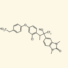 CC(c1ccc(Oc2ccc(CC(=O)O)cc2)cc1Cl)C(O)(c1ccc2c(c1)n(C)c(=O)n2C)C(F)(F)F